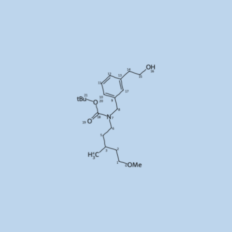 COCCC(C)CCN(Cc1cccc(CCO)c1)C(=O)OC(C)(C)C